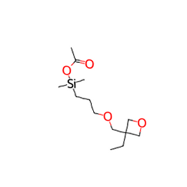 CCC1(COCCC[Si](C)(C)OC(C)=O)COC1